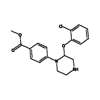 COC(=O)c1ccc(N2CCNCC2Oc2ccccc2Cl)cc1